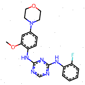 COc1cc(N2CCOCC2)ccc1Nc1ncnc(Nc2ccccc2F)n1